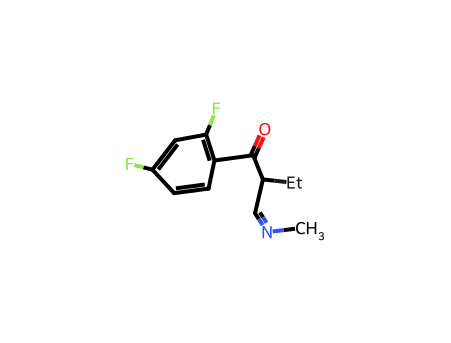 CCC(/C=N\C)C(=O)c1ccc(F)cc1F